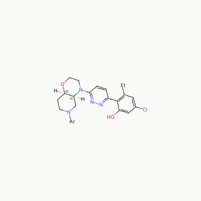 CCc1cc(Cl)cc(O)c1-c1ccc(N2CCO[C@@H]3CCN(C(C)=O)C[C@@H]32)nn1